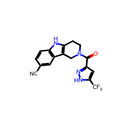 N#Cc1ccc2[nH]c3c(c2c1)CN(C(=O)c1cc(C(F)(F)F)[nH]n1)CC3